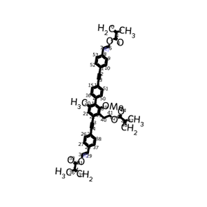 C=C(C)C(=O)O/C=C/c1ccc(C#Cc2ccc(-c3c(C)cc(C#Cc4ccc(/C=C/OC(=O)C(=C)C)cc4)c(CCOC(=O)C(=C)C)c3OC)cc2)cc1